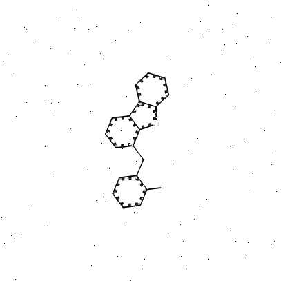 Nc1ccccc1Cc1cccc2c1[nH]c1ccccc12